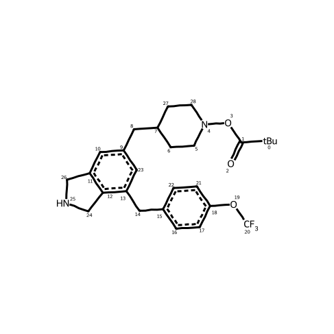 CC(C)(C)C(=O)ON1CCC(Cc2cc3c(c(Cc4ccc(OC(F)(F)F)cc4)c2)CNC3)CC1